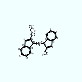 CCC1=Cc2ccccc2[CH]1[Hf+2][CH]1C(CC)=Cc2ccccc21.[Cl-].[Cl-]